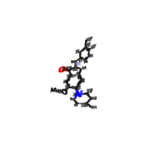 COc1cc2c(cc1N1CCC(C)CC1)C/C(=C\c1cccc(C)c1)C2=O